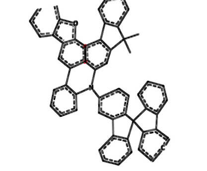 CC1(C)c2ccccc2-c2ccc(N(c3ccc4c(c3)-c3ccccc3C43c4ccccc4-c4ccccc43)c3ccccc3-c3ccc4oc5ccccc5c4c3)cc21